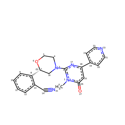 Cn1c(N2CCO[C@@H](c3ccccc3C#N)C2)nc(-c2ccncc2)cc1=O